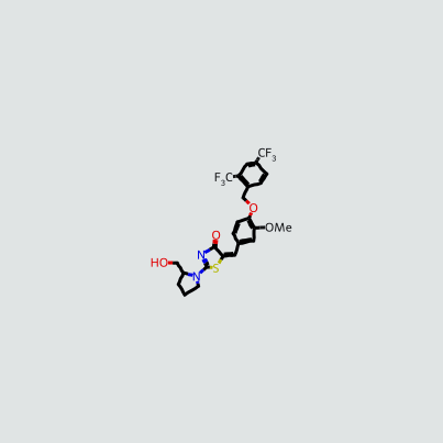 COc1cc(C=C2SC(N3CCCC3CO)=NC2=O)ccc1OCc1ccc(C(F)(F)F)cc1C(F)(F)F